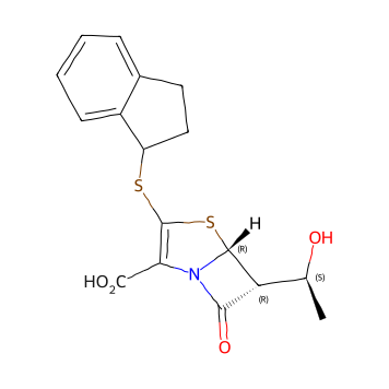 C[C@H](O)[C@@H]1C(=O)N2C(C(=O)O)=C(SC3CCc4ccccc43)S[C@H]12